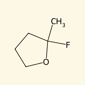 CC1(F)CCCO1